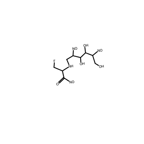 O=NC(=O)C(CF)NCC(N=O)C(O)C(O)C(CO)N=O